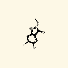 COn1[nH]c2cc(F)c(Br)cc2c1=O